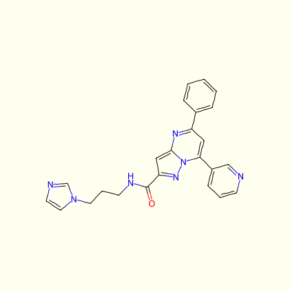 O=C(NCCCn1ccnc1)c1cc2nc(-c3ccccc3)cc(-c3cccnc3)n2n1